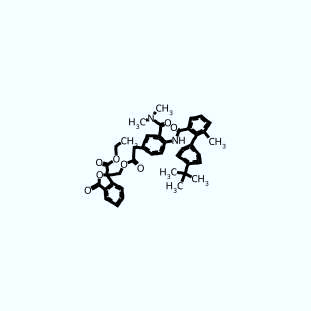 CCOC(=O)C1(COC(=O)Cc2ccc(NC(=O)c3cccc(C)c3-c3ccc(C(C)(C)C)cc3)c(C(=O)N(C)C)c2)OC(=O)c2ccccc21